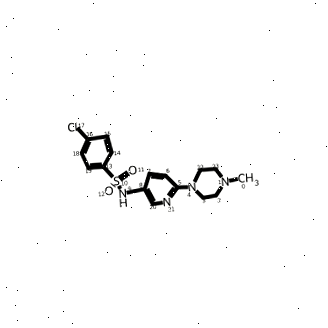 CN1CCN(c2ccc(NS(=O)(=O)c3ccc(Cl)cc3)cn2)CC1